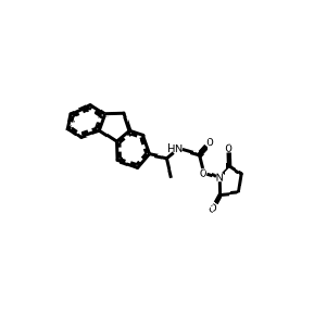 CC(NC(=O)ON1C(=O)CCC1=O)c1ccc2c(c1)Cc1ccccc1-2